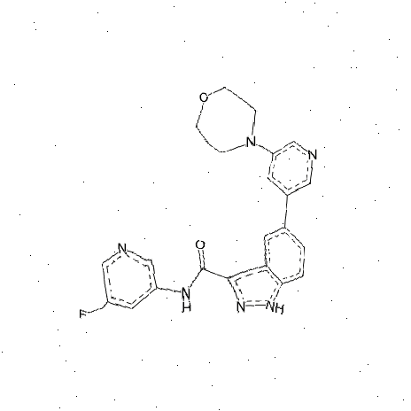 O=C(Nc1cncc(F)c1)c1n[nH]c2ccc(-c3cncc(N4CCOCC4)c3)cc12